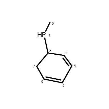 CPC1C=CC=CC1